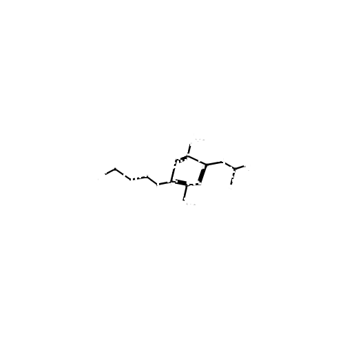 CCC(N)Cc1cc(OC)c(CCCCC(F)(F)F)cc1OC